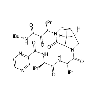 CCCC(C(=O)C(=O)N[C@@H](C)CC)N1C=C[C@H]2CN(C(=O)[C@@H](NC(=O)[C@H](NC(=O)c3cnccn3)C(C)C)C(C)C)C(C1=O)[C@H]2C